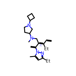 C=C/C(CC)=C(\CN(C)C1CCN(C2CCC2)C1)C(=C)n1nc(CC)cc1C